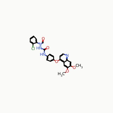 COc1cc2nccc(Oc3ccc(NC(=O)NN(C=O)c4ccccc4Cl)cc3)c2cc1OC